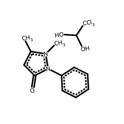 Cc1cc(=O)n(-c2ccccc2)n1C.OC(O)C(Cl)(Cl)Cl